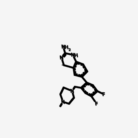 CN1CCN(Cc2cc(F)c(F)cc2-c2ccc3c(c2)[CH]N=C(N)N3)CC1